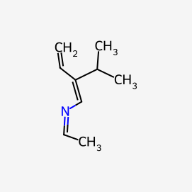 C=C/C(=C\N=C/C)C(C)C